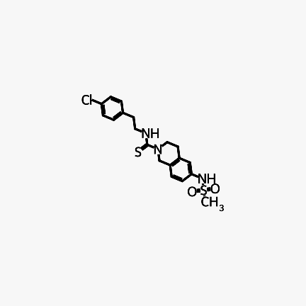 CS(=O)(=O)Nc1ccc2c(c1)CCN(C(=S)NCCc1ccc(Cl)cc1)C2